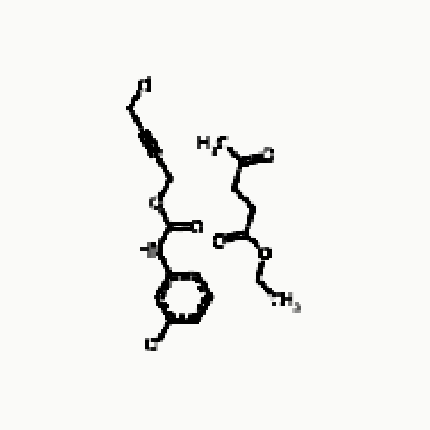 CCOC(=O)CCC(C)=O.O=C(Nc1cccc(Cl)c1)OCC#CCCl